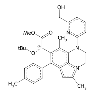 COC(=O)[C@@H](OC(C)(C)C)c1c(C)c2c3c(cc(C)n3CCN2c2cccc(CO)n2)c1-c1ccc(C)cc1